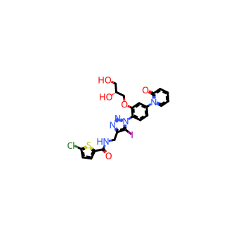 O=C(NCc1nnn(-c2ccc(-n3ccccc3=O)cc2OC[C@H](O)CO)c1I)c1ccc(Cl)s1